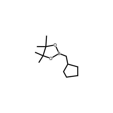 CC1(C)OB(CC2CCCC2)OC1(C)C